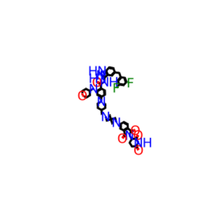 O=C1CCC(N2C(=O)c3ccc(N4CC5(CN(CC6CCN(c7ccc(C(=O)Nc8n[nH]c9ccc(Cc%10cc(F)cc(F)c%10)cc89)c(NC8CCOCC8)c7)CC6)C5)C4)cc3C2=O)C(=O)N1